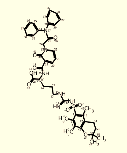 Cc1c(C)c(S(=O)(=O)NC(=N)NCCC[C@H](NC(=O)c2cccn(CC(=O)N(c3ccccc3)c3ccccc3)c2=O)C(=O)O)c(C)c2c1OC(C)(C)CC2